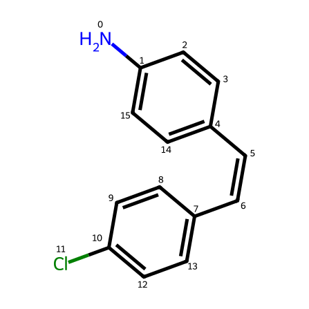 Nc1ccc(/C=C\c2ccc(Cl)cc2)cc1